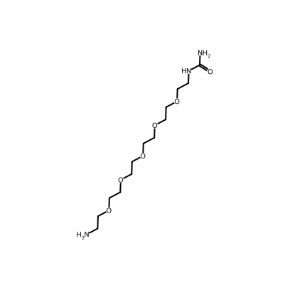 NCCOCCOCCOCCOCCOCCNC(N)=O